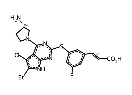 CCc1[nH]c2nc(Sc3cc(F)cc(/C=C/C(=O)O)c3)nc(N3CC[C@H](N)C3)c2c1Cl